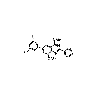 CNc1nc(-c2cccnc2)nc2c(OC)cc(-c3cc(F)cc(Cl)c3)cc12